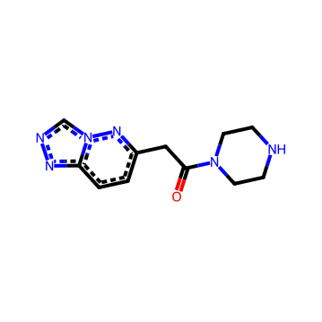 O=C(Cc1ccc2nncn2n1)N1CCNCC1